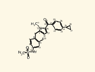 Cn1c(Cc2ccc(NS(C)(=O)=O)cc2F)ccc1C(=O)c1ccc(C2CC2)cc1